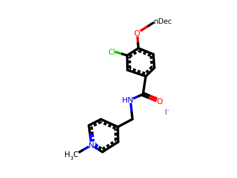 CCCCCCCCCCOc1ccc(C(=O)NCc2cc[n+](C)cc2)cc1Cl.[I-]